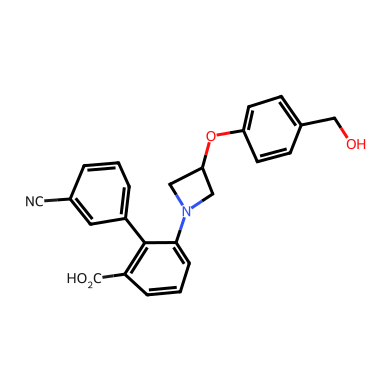 N#Cc1cccc(-c2c(C(=O)O)cccc2N2CC(Oc3ccc(CO)cc3)C2)c1